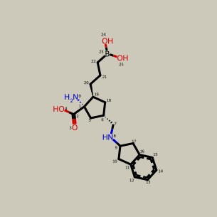 N[C@@]1(C(=O)O)C[C@@H](CNC2Cc3ccccc3C2)C[C@@H]1CCCB(O)O